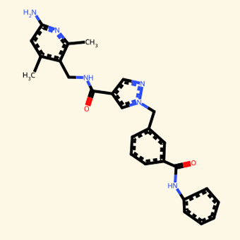 Cc1cc(N)nc(C)c1CNC(=O)c1cnn(Cc2cccc(C(=O)Nc3ccccc3)c2)c1